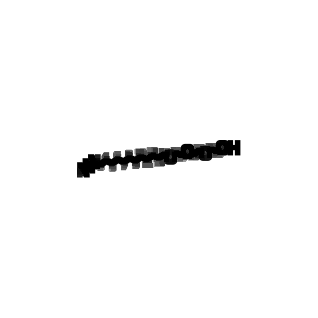 [N-]=[N+]=NCCCCCCCCCCCCOCCOCCOCCO